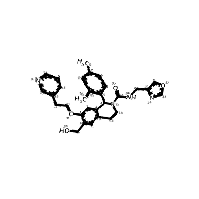 Cc1ccc(C2c3cc(OCCc4cccnc4)c(CO)cc3CCN2C(=O)NCc2cocn2)c(C)c1